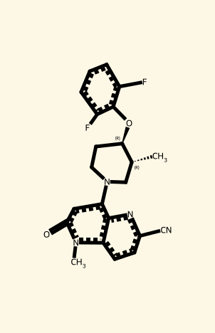 C[C@@H]1CN(c2cc(=O)n(C)c3ccc(C#N)nc23)CC[C@H]1Oc1c(F)cccc1F